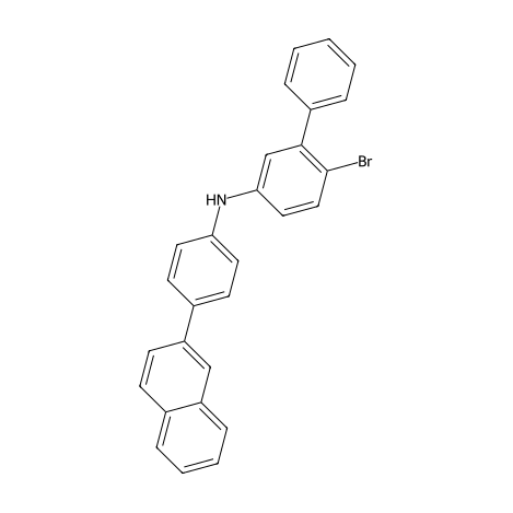 Brc1ccc(Nc2ccc(-c3ccc4ccccc4c3)cc2)cc1-c1ccccc1